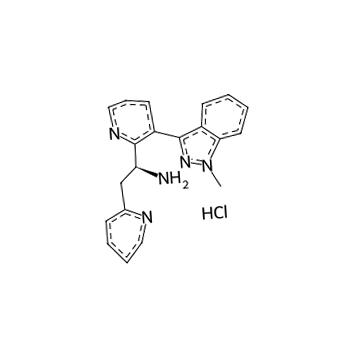 Cl.Cn1nc(-c2cccnc2[C@@H](N)Cc2ccccn2)c2ccccc21